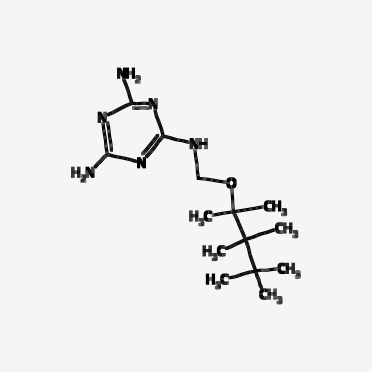 CC(C)(C)C(C)(C)C(C)(C)OCNc1nc(N)nc(N)n1